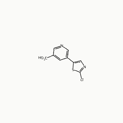 O=C(O)c1cncc(-c2cnc(Cl)s2)c1